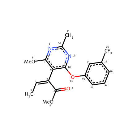 CC=C(C(=O)OC)c1c(OC)nc(C)nc1Oc1cccc(C(F)(F)F)c1